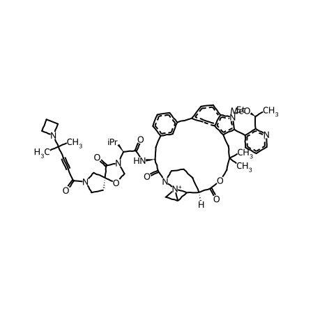 CCn1c(-c2cccnc2[C@H](C)OC)c2c3cc(ccc31)-c1cccc(c1)C[C@H](NC(=O)[C@H](C(C)C)N1CO[C@]3(CCN(C(=O)C#CC(C)(C)N4CCC4)C3)C1=O)C(=O)N1CCC[C@@H](C(=O)OCC(C)(C)C2)C2C3C[N+]321